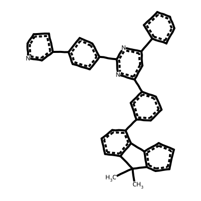 CC1(C)c2ccccc2-c2c(-c3cccc(-c4cc(-c5ccccc5)nc(-c5ccc(-c6cccnc6)cc5)n4)c3)cccc21